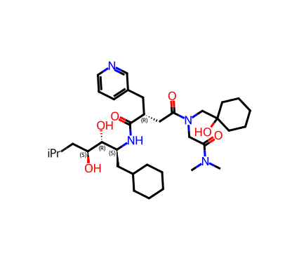 CC(C)C[C@H](O)[C@H](O)[C@H](CC1CCCCC1)NC(=O)[C@@H](CC(=O)N(CC(=O)N(C)C)CC1(O)CCCCC1)Cc1cccnc1